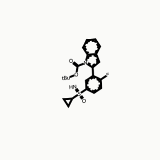 CC(C)(C)OC(=O)n1c(-c2cc(S(=N)(=O)C3CC3)ccc2F)cc2ccccc21